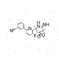 CC1(c2nc(-c3cccc(C#N)c3)ccc2F)CS(=O)(=O)C(C)(C)C(=N)N1